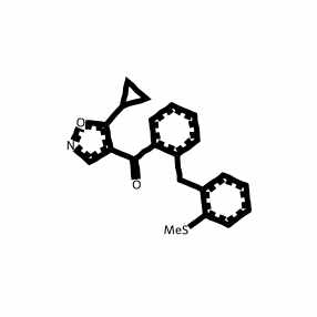 CSc1ccccc1Cc1ccccc1C(=O)c1cnoc1C1CC1